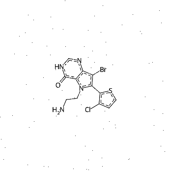 NCCn1c(-c2sccc2Cl)c(Br)c2nc[nH]c(=O)c21